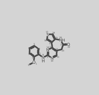 COc1ccccc1Nc1ncc2c(n1)-c1cscc1NC(=O)C2